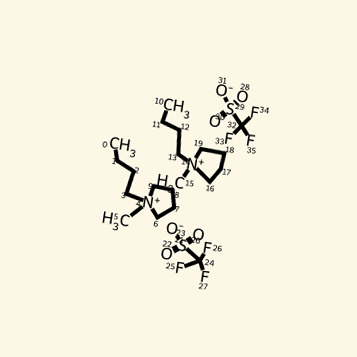 CCCC[N+]1(C)CCCC1.CCCC[N+]1(C)CCCC1.O=S(=O)([O-])C(F)(F)F.O=S(=O)([O-])C(F)(F)F